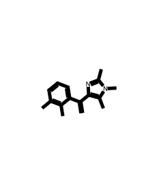 C=C(c1cccc(C)c1C)c1nc(C)n(C)c1C